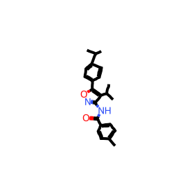 Cc1ccc(C(=O)Nc2noc(-c3ccc(C(C)C)cc3)c2C(C)C)cc1